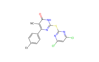 CCc1ccc(-c2nc(Sc3nc(Cl)cc(Cl)n3)[nH]c(=O)c2C#N)cc1